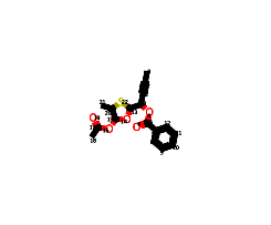 CC#CC(OC(=O)c1ccccc1)C1OC(OC(C)=O)C(C)S1